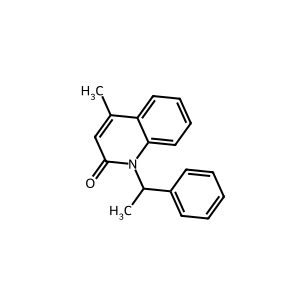 Cc1cc(=O)n(C(C)c2ccccc2)c2ccccc12